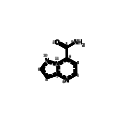 NC(=O)c1ccnc2ccnn12